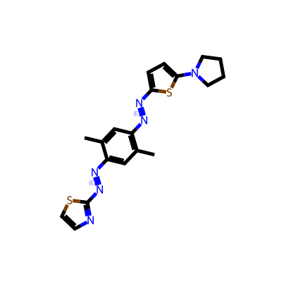 Cc1cc(/N=N/c2nccs2)c(C)cc1/N=N/c1ccc(N2CCCC2)s1